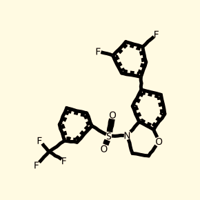 O=S(=O)(c1cccc(C(F)(F)F)c1)N1CCOc2ccc(-c3cc(F)cc(F)c3)cc21